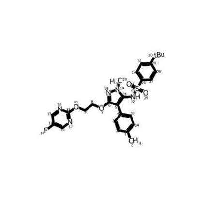 Cc1ccc(-c2c(OCCOc3ncc(F)cn3)nn(C)c2NS(=O)(=O)c2ccc(C(C)(C)C)cc2)cc1